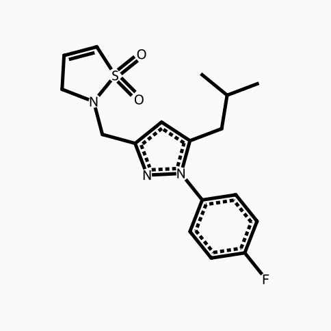 CC(C)Cc1cc(CN2CC=CS2(=O)=O)nn1-c1ccc(F)cc1